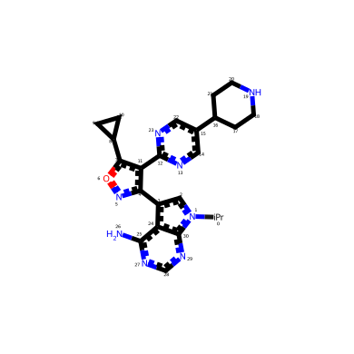 CC(C)n1cc(-c2noc(C3CC3)c2-c2ncc(C3CCNCC3)cn2)c2c(N)ncnc21